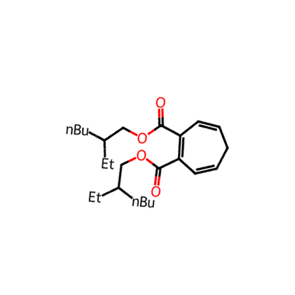 CCCCC(CC)COC(=O)C1=C(C(=O)OCC(CC)CCCC)C=CCC=C1